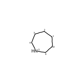 [C]1CCCCNC1